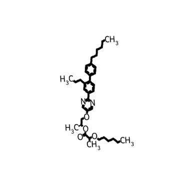 CCCCCCOC(C)C(=O)O[C@@H](C)COc1cnc(-c2ccc(-c3ccc(CCCCCC)cc3)c(CCC)c2)nc1